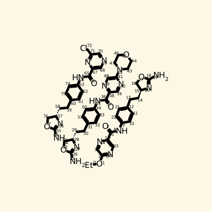 CCOc1cnc(C(=O)Nc2ccc(CC[C@H]3COC(N)=N3)cc2)cn1.NC1=N[C@@H](CCc2ccc(NC(=O)c3cnc(N4CCOCC4)cn3)cc2)CO1.NC1=N[C@@H](CCc2ccc(NC(=O)c3cncc(Cl)n3)cc2)CO1